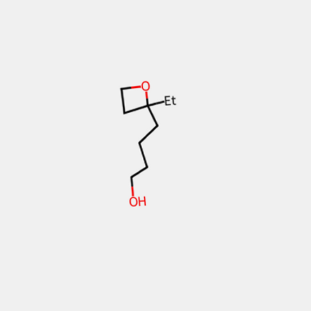 CCC1(CCCCO)CCO1